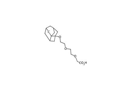 O=C(O)COCCOCCOC12CC3CC4CC(C1)C2(C4)C3